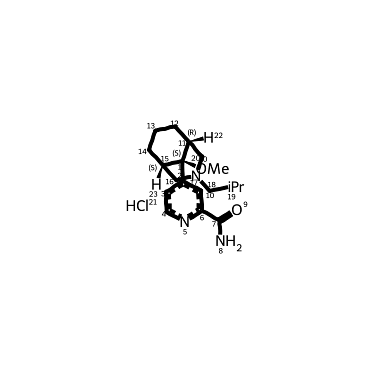 CO[C@]1(c2ccnc(C(N)=O)c2)[C@@H]2CCC[C@H]1CN(CC(C)C)C2.Cl